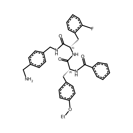 CCOc1ccc(C[C@@H](NC(=O)c2ccccc2)C(=O)N[C@@H](Cc2ccccc2F)C(=O)NCc2ccc(CN)cc2)cc1